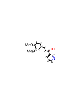 COc1ccc(CC[C@@H](O)c2cccnc2)cc1OC